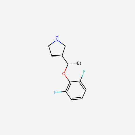 CC[C@H](Oc1c(F)cccc1F)[C@H]1CCNC1